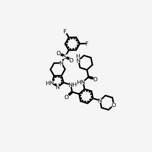 O=C(Nc1n[nH]c2c1CN(S(=O)(=O)c1cc(F)cc(F)c1)CC2)c1ccc(N2CCOCC2)cc1NC(=O)C1CCCNC1